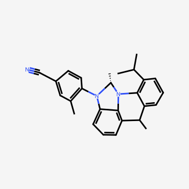 Cc1cc(C#N)ccc1N1c2cccc3c2N(c2c(C(C)C)cccc2C3C)[C@H]1C